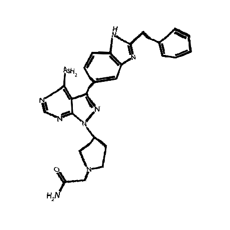 NC(=O)CN1CCC(n2nc(-c3ccc4[nH]c(Cc5ccccc5)nc4c3)c3c([AsH2])ncnc32)C1